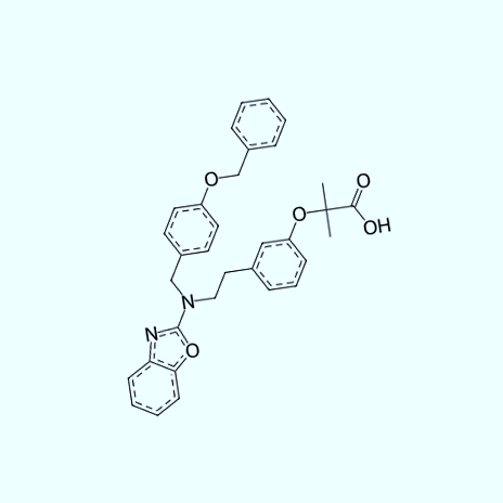 CC(C)(Oc1cccc(CCN(Cc2ccc(OCc3ccccc3)cc2)c2nc3ccccc3o2)c1)C(=O)O